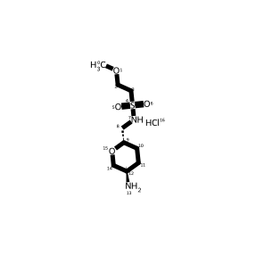 COCCS(=O)(=O)NC[C@@H]1CC[C@@H](N)CO1.Cl